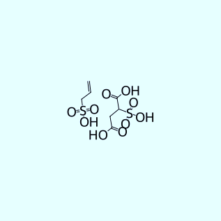 C=CCS(=O)(=O)O.O=C(O)CC(C(=O)O)S(=O)(=O)O